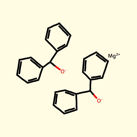 [Mg+2].[O-]C(c1ccccc1)c1ccccc1.[O-]C(c1ccccc1)c1ccccc1